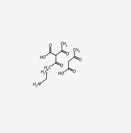 CC(=O)C(C(C)=O)C(=O)O.CC(=O)CC(=O)O.C[CH2][AlH2]